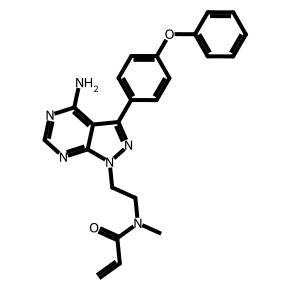 C=CC(=O)N(C)CCn1nc(-c2ccc(Oc3ccccc3)cc2)c2c(N)ncnc21